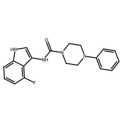 O=C(Nc1c[nH]c2cccc(F)c12)N1CCN(c2ccccc2)CC1